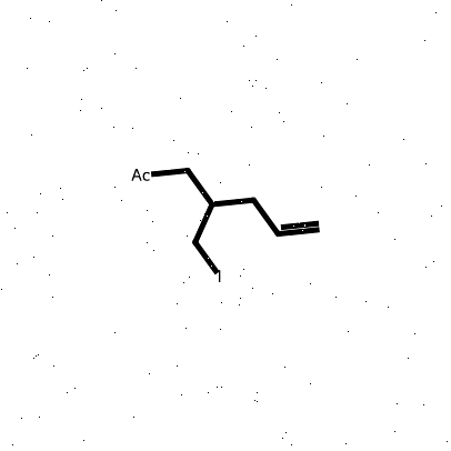 C=CCC(CI)CC(C)=O